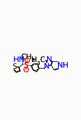 CNC(c1cccs1)S(=O)(=O)c1ccc(Cn2c(C)nc3c2C=CNC3)cc1